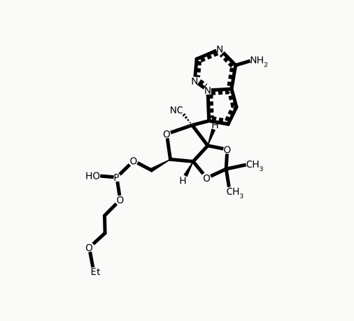 CCOCCOP(O)OC[C@H]1O[C@@](C#N)(c2ccc3c(N)ncnn23)[C@@H]2OC(C)(C)O[C@@H]21